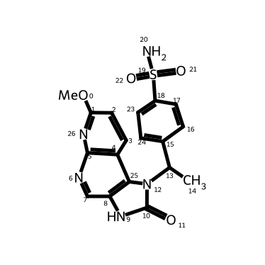 COc1ccc2c(ncc3[nH]c(=O)n(C(C)c4ccc(S(N)(=O)=O)cc4)c32)n1